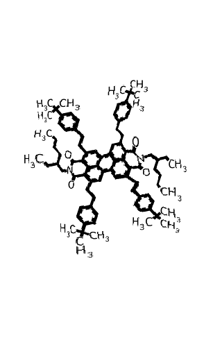 CCCCC(CC)CN1C(=O)c2c(CCc3ccc(C(C)(C)C)cc3)cc3c4cc(CCc5ccc(C(C)(C)C)cc5)c5c6c(c(CCc7ccc(C(C)(C)C)cc7)cc(c7cc(CCc8ccc(C(C)(C)C)cc8)c(c2c37)C1=O)c64)C(=O)N(CC(CC)CCCC)C5=O